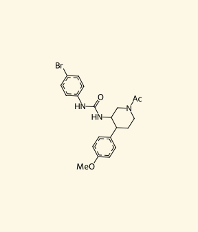 COc1ccc(C2CCN(C(C)=O)CC2NC(=O)Nc2ccc(Br)cc2)cc1